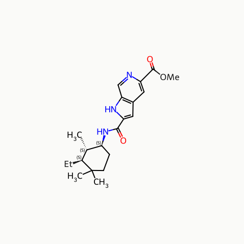 CC[C@H]1[C@H](C)[C@@H](NC(=O)c2cc3cc(C(=O)OC)ncc3[nH]2)CCC1(C)C